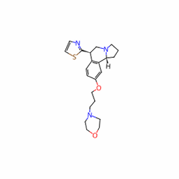 c1csc([C@H]2CN3CCC[C@@H]3c3cc(OCCCN4CCOCC4)ccc32)n1